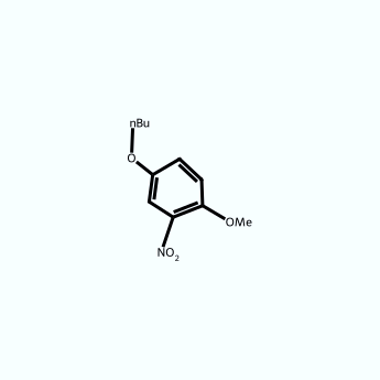 CCCCOc1ccc(OC)c([N+](=O)[O-])c1